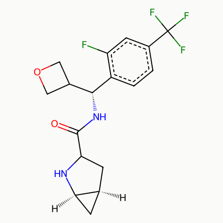 O=C(N[C@@H](c1ccc(C(F)(F)F)cc1F)C1COC1)C1C[C@H]2C[C@H]2N1